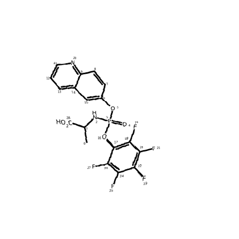 CC(NP(=O)(Oc1ccc2ncccc2c1)Oc1c(F)c(F)c(F)c(F)c1F)C(=O)O